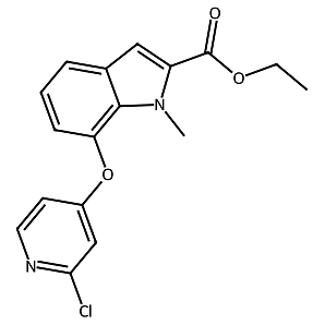 CCOC(=O)c1cc2cccc(Oc3ccnc(Cl)c3)c2n1C